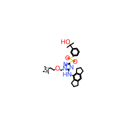 CC(C)(O)c1cccc(S(=O)(=O)c2nc(Nc3c4c(cc5c3CCC5)CCC4)n(COCC[Si](C)(C)C)n2)c1